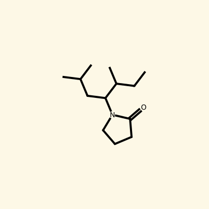 CCC(C)C(CC(C)C)N1CCCC1=O